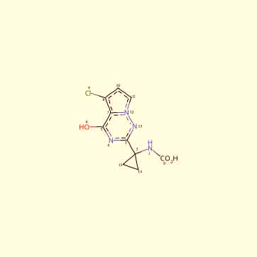 O=C(O)NC1(c2nc(O)c3c(Cl)ccn3n2)CC1